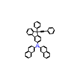 C(#CC1(c2ccccc2)c2ccccc2-c2cc(N(c3ccc4ccccc4c3)c3ccc4ccccc4c3)ccc21)c1ccccc1